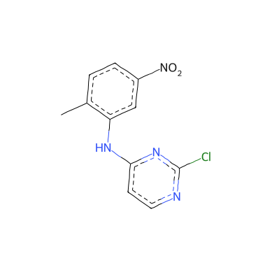 Cc1ccc([N+](=O)[O-])cc1Nc1ccnc(Cl)n1